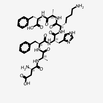 C[C@H](NC(=O)[C@H](CCCCN)NC(=O)[C@H](Cc1c[nH]cn1)NC(=O)[C@H](Cc1ccccc1)NC(=O)[C@H](C)NC(=O)[C@@H](N)CC(=O)O)C(=O)N[C@@H](Cc1ccccc1)C(=O)O